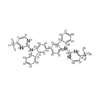 CS(C)(C)c1ccnc(-n2c3ccccc3c3cc(-c4ccc5c(c4)c4ccccc4n5-c4nccc(S(C)(C)C)n4)ccc32)n1